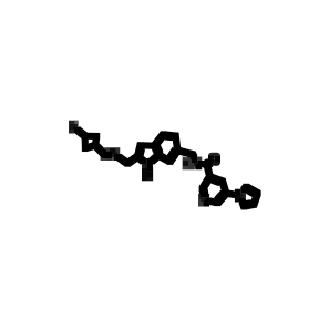 O=C(NCc1ccc2cc(CNCC3CC(F)C3)[nH]c2c1)c1cncc(-n2cccc2)c1